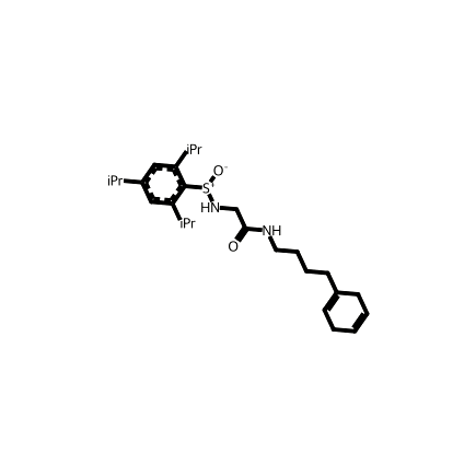 CC(C)c1cc(C(C)C)c([S+]([O-])NCC(=O)NCCCCC2=CCC=CC2)c(C(C)C)c1